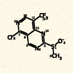 C[S+]([O-])c1ncc2c(Cl)ncc(C(F)(F)F)c2n1